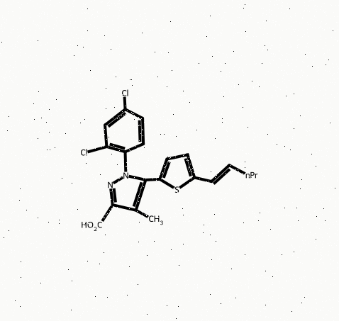 CCC/C=C/c1ccc(-c2c(C)c(C(=O)O)nn2-c2ccc(Cl)cc2Cl)s1